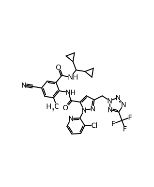 Cc1cc(C#N)cc(C(=O)NC(C2CC2)C2CC2)c1NC(=O)c1cc(Cn2nnc(C(F)(F)F)n2)nn1-c1ncccc1Cl